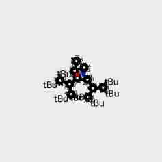 CC(C)(C)c1cc(-c2cc(-c3cc(C(C)(C)C)cc(C(C)(C)C)c3)cc(-c3ccc4c(c3)c3cc(-c5cc(-c6cc(C(C)(C)C)cc(C(C)(C)C)c6)cc(-c6cc(C(C)(C)C)cc(C(C)(C)C)c6)c5)ccc3n4-c3ccccc3-c3ccccc3-c3ccccc3)c2)cc(C(C)(C)C)c1